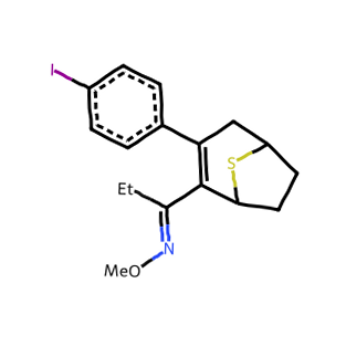 CCC(=NOC)C1=C(c2ccc(I)cc2)CC2CCC1S2